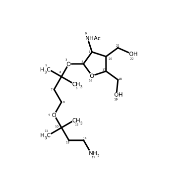 CC(=O)NC1C(OC(C)(C)CCOC(C)(C)CCN)OC(CO)C1CO